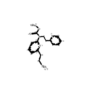 CC(C)(C)OC(=O)N(CCc1ccccn1)c1cccc(CCN)n1